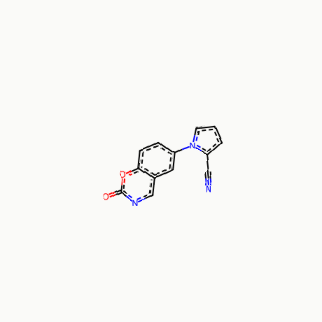 N#Cc1cccn1-c1ccc2oc(=O)ncc2c1